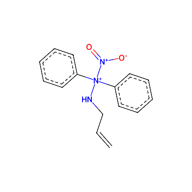 C=CCN[N+](c1ccccc1)(c1ccccc1)[N+](=O)[O-]